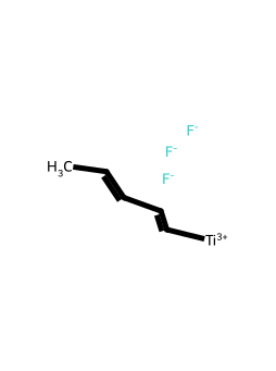 CC=CC=[CH][Ti+3].[F-].[F-].[F-]